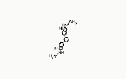 NCCNc1cc2cc(-c3cccc(-c4ccc5[nH]c(NCCN)cc5c4)c3)ccc2[nH]1